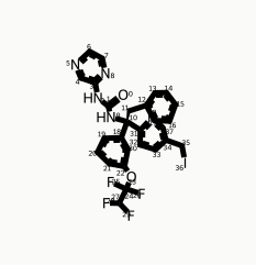 O=C(Nc1cnccn1)N[C@@](Cc1ccccc1)(c1cccc(OC(F)(F)C(F)F)c1)c1ccc(CI)cn1